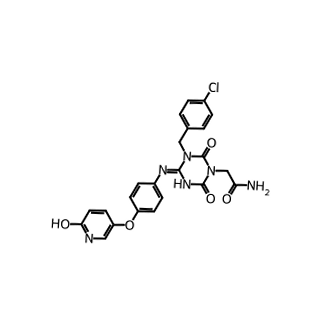 NC(=O)Cn1c(=O)[nH]/c(=N\c2ccc(Oc3ccc(O)nc3)cc2)n(Cc2ccc(Cl)cc2)c1=O